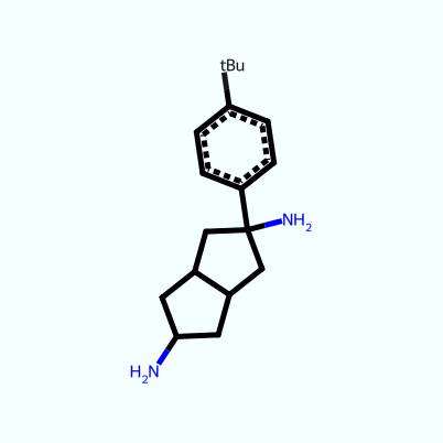 CC(C)(C)c1ccc(C2(N)CC3CC(N)CC3C2)cc1